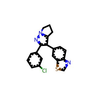 Clc1cccc(-c2nn3c(c2-c2ccc4ncsc4c2)CCC3)c1